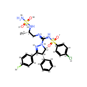 CC(C)[C@@H](C/N=C(/NS(=O)(=O)c1ccc(Cl)cc1)N1C[C@H](c2ccccc2)C(c2ccc(F)cc2)=N1)NS(N)(=O)=O